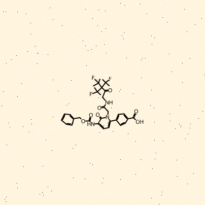 CC(C)(F)C(C(=O)CNC(=O)Cn1c(-c2ccc(C(=O)O)cc2)ccc(NC(=O)OCc2ccccc2)c1=O)(C(C)(C)F)C(C)(C)F